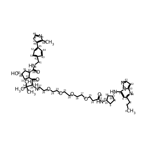 CCCc1cc(N[C@@H]2CC[C@@H](NC(=O)CCOCCOCCOCCOCCN[C@H](C(=O)C3C[C@H](O)C[C@H]3C(=O)NCc3ccc(-c4scnc4C)cc3)C(C)(C)C)C2)n2nccc2n1